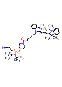 CC[N+]1=C(/C=C/C=C2/N(CCCCCC(=O)N3CCC(OP(OCCC#N)N(C(C)C)C(C)C)CC3)c3ccccc3C2(C)C)C(C)(C)c2ccccc21